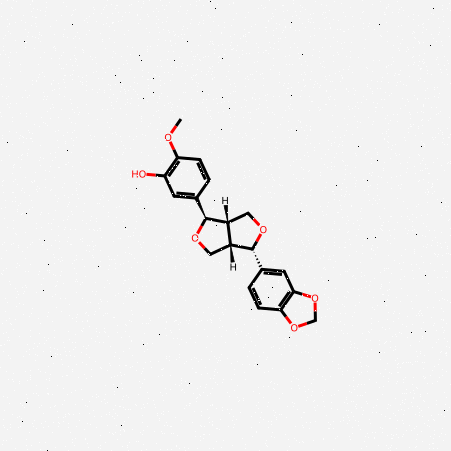 COc1ccc([C@@H]2OC[C@@H]3[C@H]2CO[C@@H]3c2ccc3c(c2)OCO3)cc1O